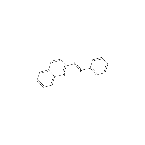 c1ccc(N=Nc2ccc3ccccc3n2)cc1